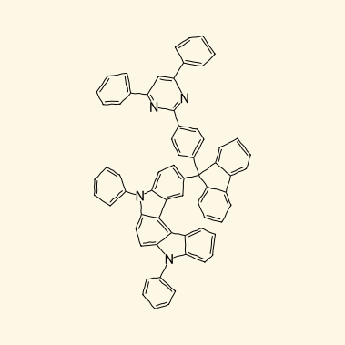 c1ccc(-c2cc(-c3ccccc3)nc(-c3ccc(C4(c5ccc6c(c5)c5c7c8ccccc8n(-c8ccccc8)c7ccc5n6-c5ccccc5)c5ccccc5-c5ccccc54)cc3)n2)cc1